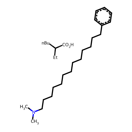 CCCCC(CC)C(=O)O.CN(C)CCCCCCCCCCCCCc1ccccc1